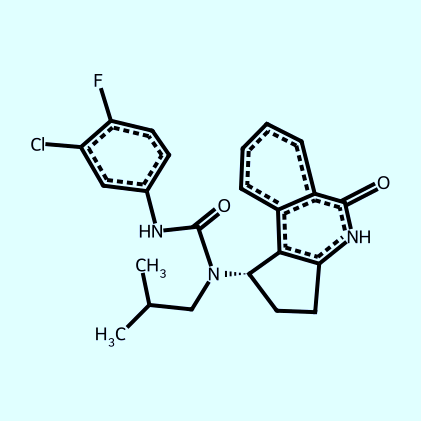 CC(C)CN(C(=O)Nc1ccc(F)c(Cl)c1)[C@H]1CCc2[nH]c(=O)c3ccccc3c21